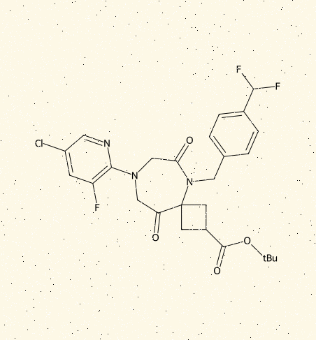 CC(C)(C)OC(=O)C1CC2(C1)C(=O)CN(c1ncc(Cl)cc1F)CC(=O)N2Cc1ccc(C(F)F)cc1